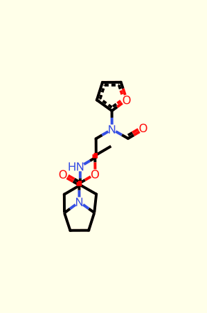 CCOC(=O)N1C2CCC1CC(NCCN(C=O)c1ccco1)C2